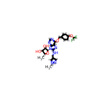 C[C@H]1O[C@@H](n2c(NCc3cnn(C)c3)nc3c(OCc4ccc(OC(F)F)cc4)ncnc32)[C@H](O)[C@@H]1O